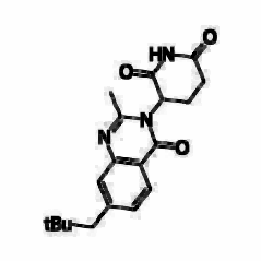 Cc1nc2cc(CC(C)(C)C)ccc2c(=O)n1C1CCC(=O)NC1=O